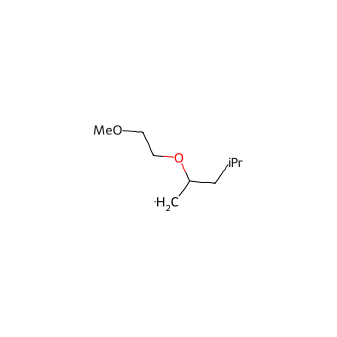 [CH2]C(CC(C)C)OCCOC